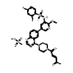 COc1ncc(-c2ccc3ncnc(N4CCN(C(=O)/C=C/C(C)=O)CC4)c3c2)cc1NS(=O)(=O)c1ccc(F)cc1F.CS(=O)(=O)O